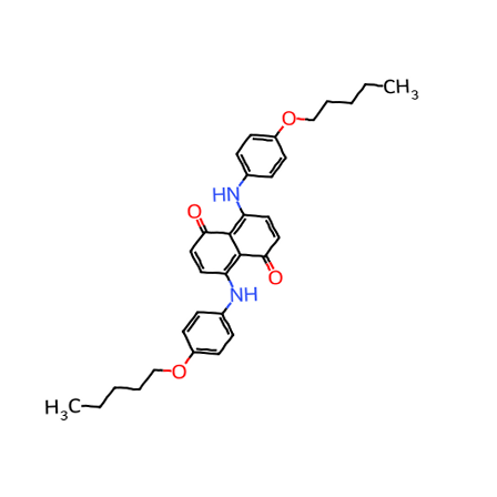 CCCCCOc1ccc(NC2=C3C(=O)C=CC(Nc4ccc(OCCCCC)cc4)=C3C(=O)C=C2)cc1